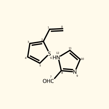 C=Cc1cccs1.O=Cc1ncc[nH]1